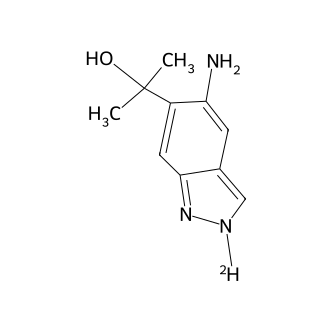 [2H]n1cc2cc(N)c(C(C)(C)O)cc2n1